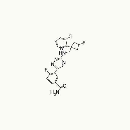 NC(=O)c1ccc(F)c(-c2cnc(NCC3(c4ncccc4Cl)CC(F)C3)nn2)c1